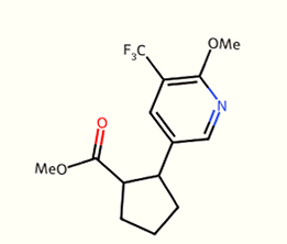 COC(=O)C1CCCC1c1cnc(OC)c(C(F)(F)F)c1